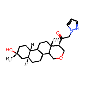 C[C@@]1(O)CC[C@@H]2C3CC[C@@]4(C)C(COC[C@@H]4C(=O)Cn4cccn4)C3CC[C@@H]2C1